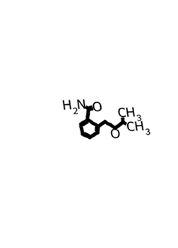 CC(C)C(=O)Cc1ccccc1C(N)=O